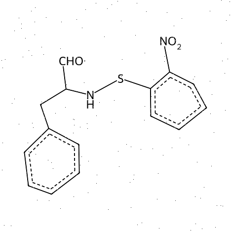 O=[C]C(Cc1ccccc1)NSc1ccccc1[N+](=O)[O-]